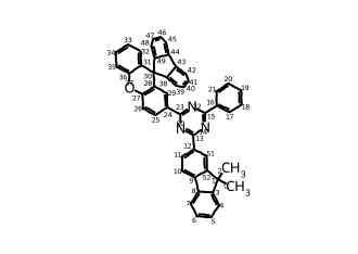 CC1(C)c2ccccc2-c2ccc(-c3nc(-c4ccccc4)nc(-c4ccc5c(c4)C4(c6ccccc6O5)c5ccccc5-c5ccccc54)n3)cc21